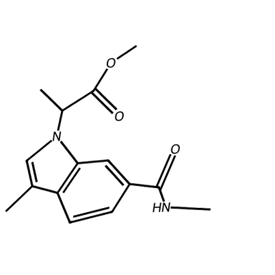 CNC(=O)c1ccc2c(C)cn(C(C)C(=O)OC)c2c1